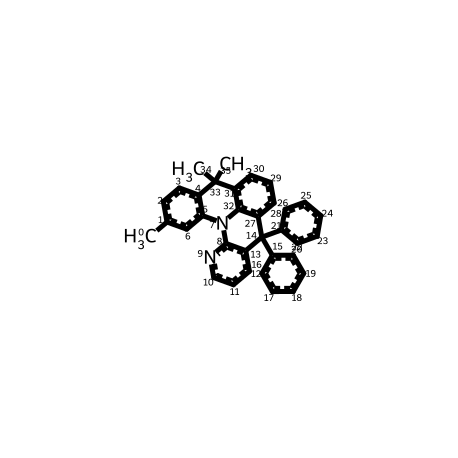 Cc1ccc2c(c1)N1c3ncccc3C(c3ccccc3)(c3ccccc3)c3cccc(c31)C2(C)C